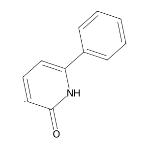 O=c1[c]ccc(-c2ccccc2)[nH]1